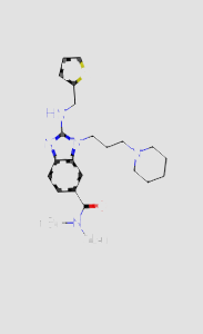 CCCCN(CCCC)C(=O)c1ccc2nc(NCc3cccs3)n(CCCN3CCCCC3)c2c1